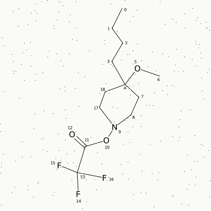 CCCCC1(OC)CCN(OC(=O)C(F)(F)F)CC1